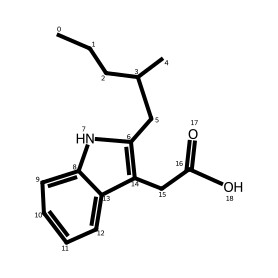 CCCC(C)Cc1[nH]c2ccccc2c1CC(=O)O